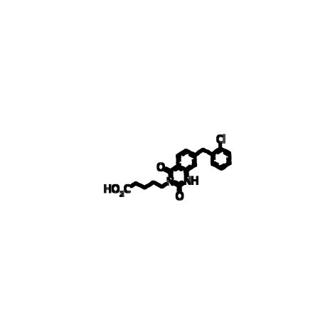 O=C(O)CCCCn1c(=O)[nH]c2cc(Cc3ccccc3Cl)ccc2c1=O